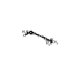 C=C(C)C(=O)NCCCOCCOCCOCCCNCc1ccc(N(C)CCCl)cc1